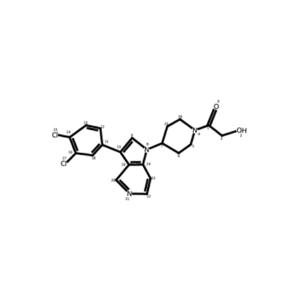 O=C(CO)N1CCC(n2cc(-c3ccc(Cl)c(Cl)c3)c3cnccc32)CC1